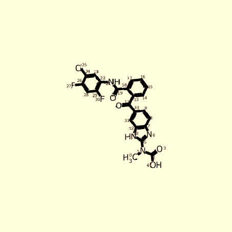 CN(C(=O)O)c1nc2ccc(C(=O)c3ccccc3C(=O)Nc3cc(Cl)c(F)cc3F)cc2[nH]1